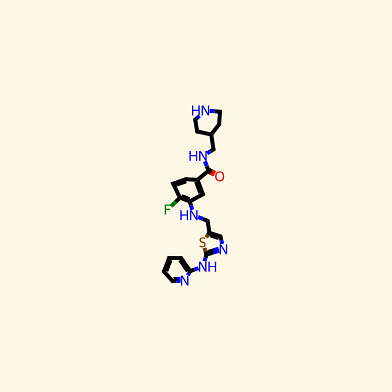 O=C(NCC1CCNCC1)c1ccc(F)c(NCc2cnc(Nc3ccccn3)s2)c1